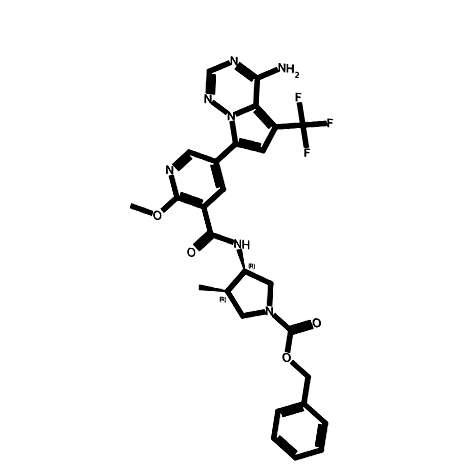 COc1ncc(-c2cc(C(F)(F)F)c3c(N)ncnn23)cc1C(=O)N[C@H]1CN(C(=O)OCc2ccccc2)C[C@H]1C